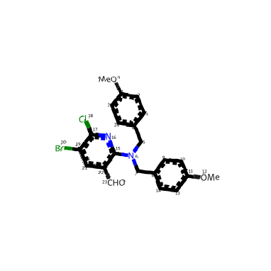 COc1ccc(CN(Cc2ccc(OC)cc2)c2nc(Cl)c(Br)cc2C=O)cc1